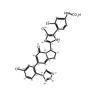 CCc1cc(NC(=O)O)ccc1-c1[nH]c(C2CCc3cc(-c4cc(Cl)ccc4-n4cnnn4)cc(=O)n32)nc1Cl